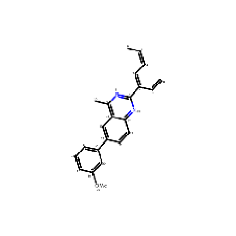 C=C/C(=C\C=C/C)c1nc(C)c2cc(-c3cccc(OC)c3)ccc2n1